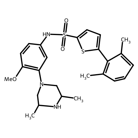 COc1ccc(NS(=O)(=O)c2ccc(-c3c(C)cccc3C)s2)cc1N1CC(C)NC(C)C1